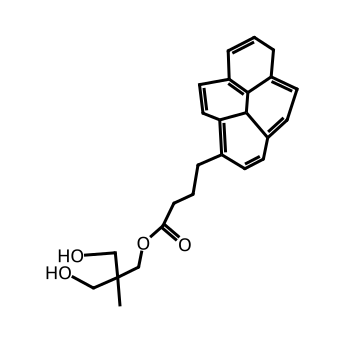 CC(CO)(CO)COC(=O)CCCC1=C2C=CC3=C4C(=CC=C(C=C1)C24)CC=C3